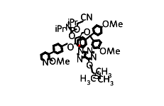 COc1ccc(C(OC[C@H]2O[C@@H](n3cnc4c(OCC[Si](C)(C)C)ncnc43)[C@H](OCc3ccc(-c4cccnc4OC)cc3)[C@@H]2OP(OCCC#N)N(C(C)C)C(C)C)(c2ccccc2)c2ccc(OC)cc2)cc1